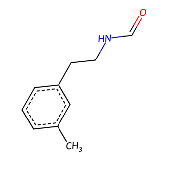 Cc1cccc(CCNC=O)c1